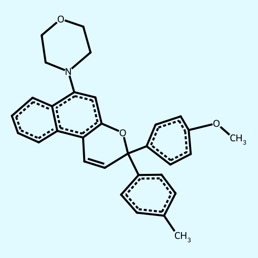 COc1ccc(C2(c3ccc(C)cc3)C=Cc3c(cc(N4CCOCC4)c4ccccc34)O2)cc1